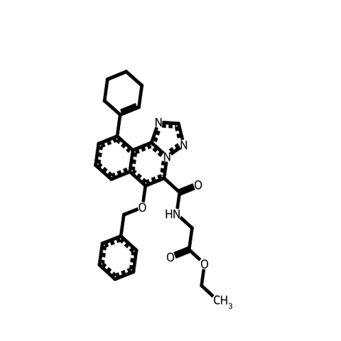 CCOC(=O)CNC(=O)c1c(OCc2ccccc2)c2cccc(C3=CCCCC3)c2c2ncnn12